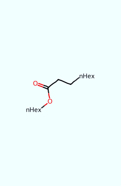 [CH2]CCCCCCCC(=O)OCCCCCC